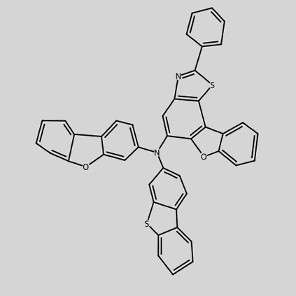 c1ccc(-c2nc3cc(N(c4ccc5c(c4)oc4ccccc45)c4ccc5c(c4)sc4ccccc45)c4oc5ccccc5c4c3s2)cc1